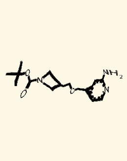 CC(C)(C)OC(=O)N1CC(COc2ccnc(N)c2)C1